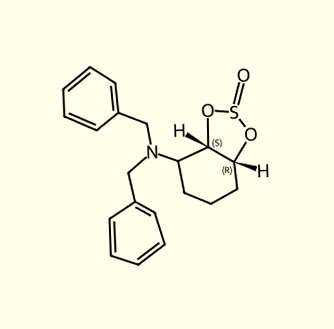 O=S1O[C@@H]2CCCC(N(Cc3ccccc3)Cc3ccccc3)[C@@H]2O1